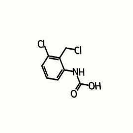 O=C(O)Nc1cccc(Cl)c1CCl